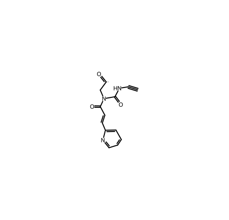 C#CNC(=O)N(C[C]=O)C(=O)C=Cc1ccccn1